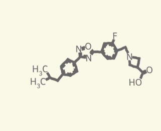 CC(C)Cc1ccc(-c2noc(-c3ccc(CN4CC(C(=O)O)C4)c(F)c3)n2)cc1